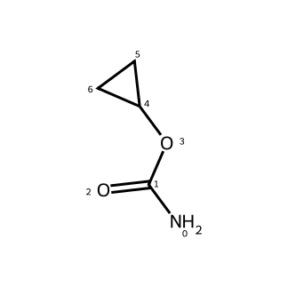 NC(=O)OC1CC1